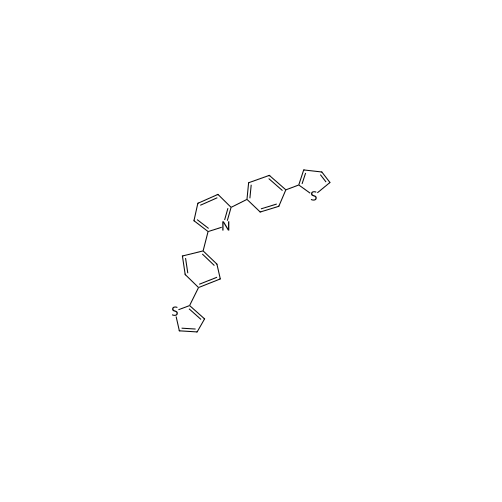 c1cc(-c2ccc(-c3cccs3)cc2)nc(-c2ccc(-c3cccs3)cc2)c1